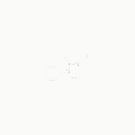 CN1CCCN(c2ccccc2)C1=O